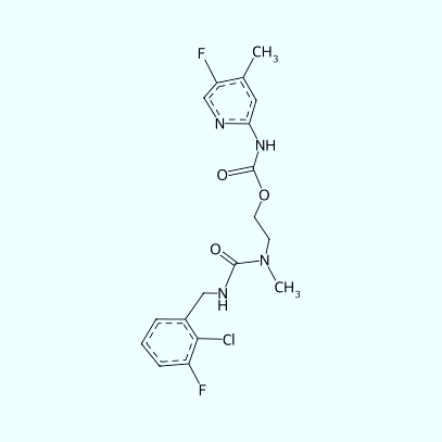 Cc1cc(NC(=O)OCCN(C)C(=O)NCc2cccc(F)c2Cl)ncc1F